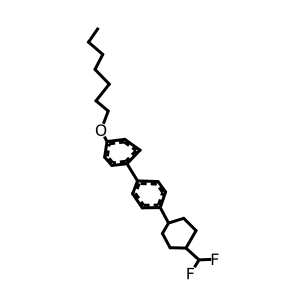 CCCCCCCOc1ccc(-c2ccc(C3CCC(C(F)F)CC3)cc2)cc1